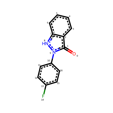 O=c1c2ccccc2[nH]n1-c1ccc(F)cc1